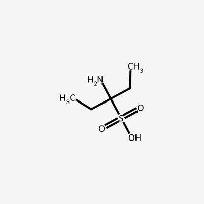 CCC(N)(CC)S(=O)(=O)O